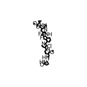 COC(=O)C1(NCc2cc(C(F)(F)F)c(N[C@@H]3CCc4c(-c5nccc(-c6ccc(CNC[C@@H]7CCC(=O)N7)c(OC)n6)c5Cl)cccc43)nc2OC)CC1